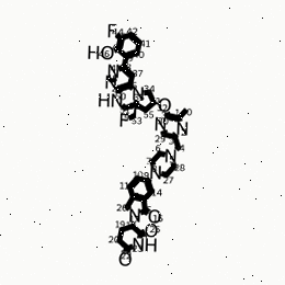 Cc1nc(CN2CCN(c3ccc4c(c3)C(=O)N([C@H]3CCC(=O)NC3=O)C4)CC2)cnc1O[C@H]1CN2c3cc(-c4cccc(F)c4O)nnc3NC[C@@]2(CF)C1